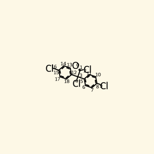 O=C(Cl)C(Cl)(c1ccc(Cl)cc1)c1ccc(Cl)cc1